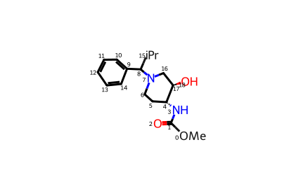 COC(=O)N[C@@H]1CCN(C(c2ccccc2)C(C)C)C[C@H]1O